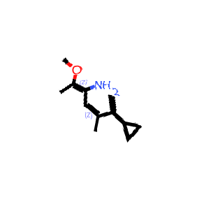 C=C(/C(C)=C\C(N)=C(/C)OC)C1CC1